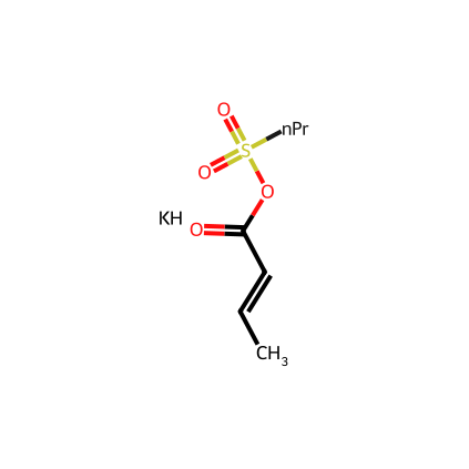 CC=CC(=O)OS(=O)(=O)CCC.[KH]